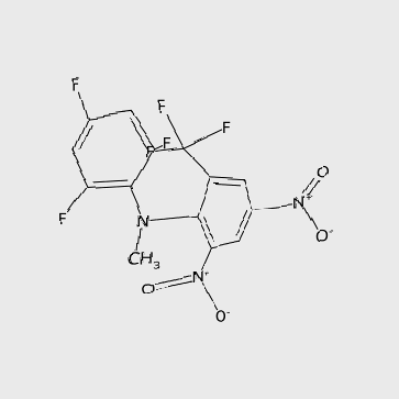 CN(c1c(F)cc(F)cc1F)c1c([N+](=O)[O-])cc([N+](=O)[O-])cc1C(F)(F)F